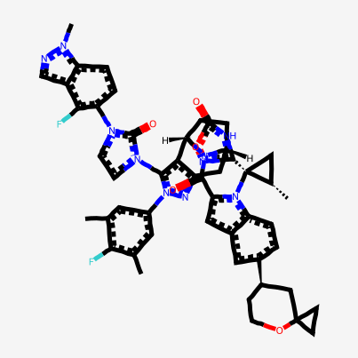 Cc1cc(-n2nc3c(c2-n2ccn(-c4ccc5c(cnn5C)c4F)c2=O)[C@@H]2CC[C@H](C3)N2C(=O)c2cc3cc([C@@H]4CCOC5(CC5)C4)ccc3n2[C@@]2(c3noc(=O)[nH]3)C[C@@H]2C)cc(C)c1F